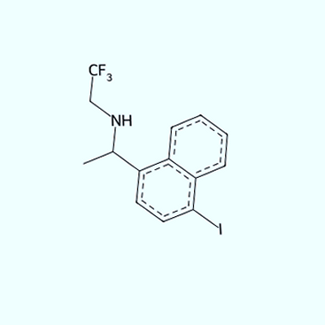 CC(NCC(F)(F)F)c1ccc(I)c2ccccc12